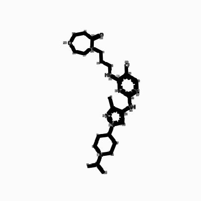 Cc1nn(C2CCN(C(C)C)CC2)cc1Nc1ncc(Cl)c(NCCCN2CCOCCC2=O)n1